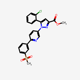 COC(=O)c1cc(-c2ccccc2Cl)n(-c2ccc(-c3cccc(S(C)(=O)=O)c3)nc2)n1